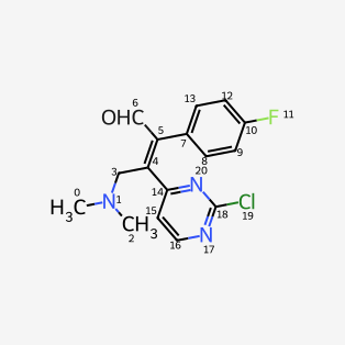 CN(C)CC(=C(C=O)c1ccc(F)cc1)c1ccnc(Cl)n1